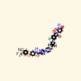 N#Cc1ccc(O[C@H]2CC[C@H](NC(=O)c3cnc(N4CCN(C[C@@H]5[C@H]6CN(c7cc8c(cc7F)C(=O)N(C7CCC(=O)NC7=O)C8=O)C[C@@H]56)CC4)cn3)CC2)cc1C(F)(F)F